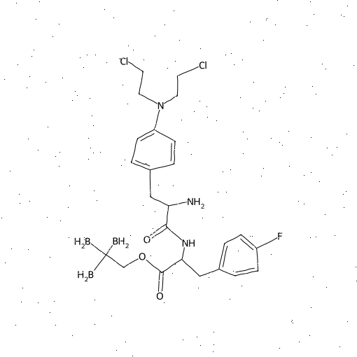 BC(B)(B)COC(=O)C(Cc1ccc(F)cc1)NC(=O)C(N)Cc1ccc(N(CCCl)CCCl)cc1